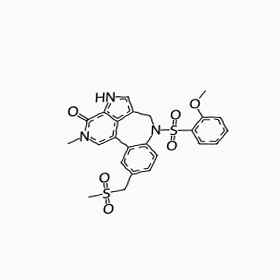 COc1ccccc1S(=O)(=O)N1Cc2c[nH]c3c(=O)n(C)cc(c23)-c2cc(CS(C)(=O)=O)ccc21